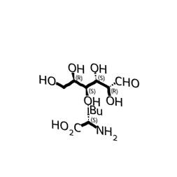 CCC(C)[C@H](N)C(=O)O.O=C[C@H](O)[C@@H](O)[C@@H](O)[C@H](O)CO